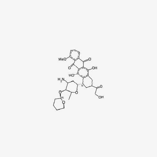 COc1cccc2c1C(=O)c1c(O)c3c(c(O)c1C2=O)CC(C(=O)CO)C[C@@H]3C1CC(N)C(O[C@@H]2CCCCO2)C(C)O1